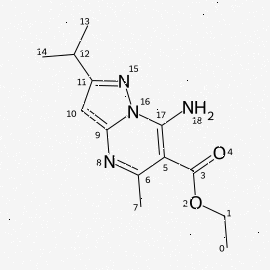 CCOC(=O)c1c(C)nc2cc(C(C)C)nn2c1N